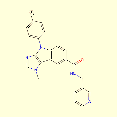 Cn1cnc2c1c1cc(C(=O)NCc3cccnc3)ccc1n2-c1ccc(C(F)(F)F)cc1